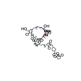 C/C1=C\C=C\[C@@H](CO)[C@@]2(O)C[C@H](OC(=O)N2)[C@@H](C)C2O[C@]2(C)[C@@H](OC(=O)[C@H](C)N(C)C(=O)CCSC2CC(=O)N(CC3CCC(C(=O)ON4C(=O)CCC4=O)CC3)C2=O)CC(=O)N(C)c2cc(cc(CO)c2Cl)C1